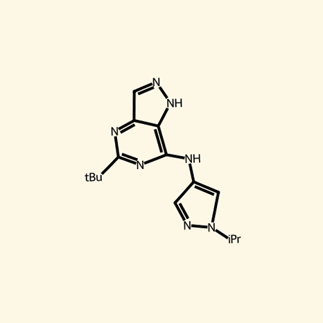 CC(C)n1cc(Nc2nc(C(C)(C)C)nc3cn[nH]c23)cn1